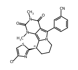 Cn1c(=O)c2c(-c3cccc(C#N)c3)n3c(c2n(C)c1=O)[C@H](c1nc(Cl)cs1)CCC3